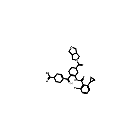 N=C(C1=CCC(C(=O)O)CC1)C1=C(NC(=O)c2c(Cl)cccc2C2CC2)CC(C(=O)N2CC3COCC3C2)CC1